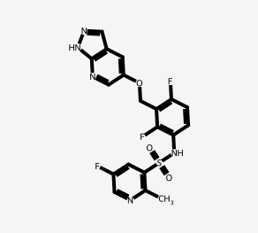 Cc1ncc(F)cc1S(=O)(=O)Nc1ccc(F)c(COc2cnc3[nH]ncc3c2)c1F